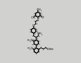 COCCCc1cccc(C)c1-c1ccc(C(CN)Cc2ccc(OCCOc3c(Cl)cc(C)cc3Cl)cc2)c(C)c1